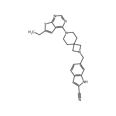 CCc1cc2c(N3CCC4(CC3)CN(Cc3ccc5cc(C#N)[nH]c5c3)C4)ncnc2s1